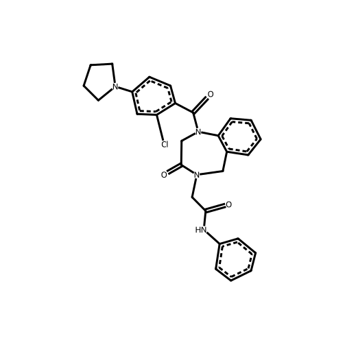 O=C(CN1Cc2ccccc2N(C(=O)c2ccc(N3CCCC3)cc2Cl)CC1=O)Nc1ccccc1